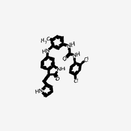 Cc1ccc(NC(=O)Nc2ccc(Cl)cc2Cl)cc1Nc1ccc2c(c1)NC(=O)C2=Cc1ccc[nH]1